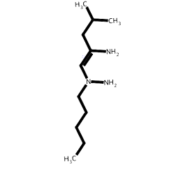 CCCCCN(N)/C=C(\N)CC(C)C